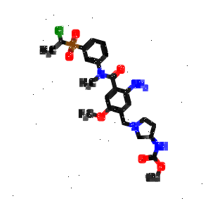 CC(Cl)S(=O)(=O)c1cccc(N(C)C(=O)c2cc(OC(F)(F)F)c(CN3CC[C@@H](NC(=O)OC(C)(C)C)C3)cc2N)c1